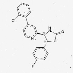 O=C1N[C@H](c2cc(-c3ccccc3Cl)ccn2)[C@@H](c2ccc(F)cc2)O1